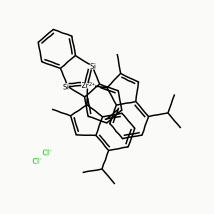 CC1=Cc2c(C(C)C)cccc2[CH]1[Zr+2]1([CH]2C(C)=Cc3c(C(C)C)cccc32)=[Si]2c3ccccc3[Si]=1c1ccccc12.[Cl-].[Cl-]